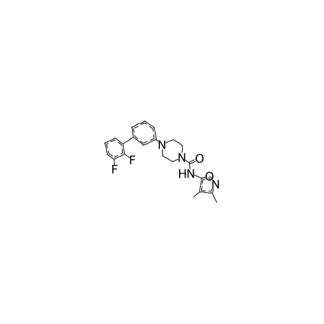 Cc1noc(NC(=O)N2CCN(c3cccc(-c4cccc(F)c4F)c3)CC2)c1C